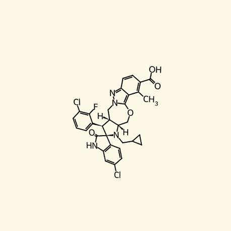 Cc1c(C(=O)O)ccc2nn3c(c12)OC[C@H]1[C@@H](C3)[C@H](c2cccc(Cl)c2F)[C@]2(C(=O)Nc3cc(Cl)ccc32)N1CC1CC1